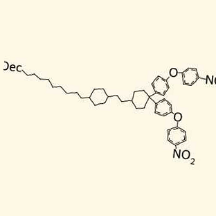 CCCCCCCCCCCCCCCCCCCC1CCC(CCC2CCC(c3ccc(Oc4ccc([N+](=O)[O-])cc4)cc3)(c3ccc(Oc4ccc([N+](=O)[O-])cc4)cc3)CC2)CC1